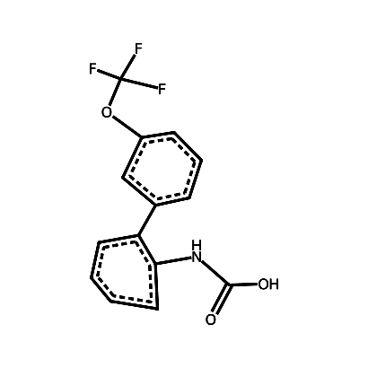 O=C(O)Nc1ccccc1-c1cccc(OC(F)(F)F)c1